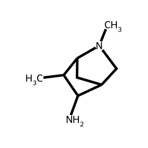 CC1C(N)C2CC1N(C)C2